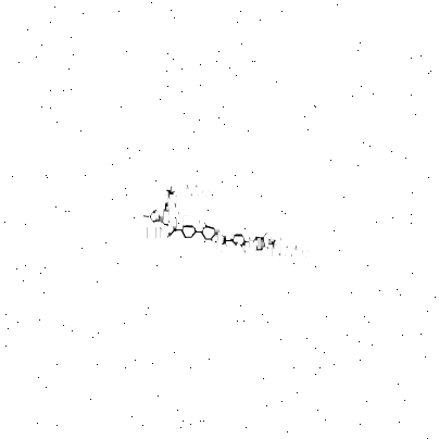 CNC(=O)N1CCN(c2ccc(C(=O)Nc3cc(C(F)(F)F)c(-c4ccc(-c5c[nH]c(C6CC(C)CN6C(=O)CNC(=O)OC)n5)cc4)cc3F)cn2)CC1C